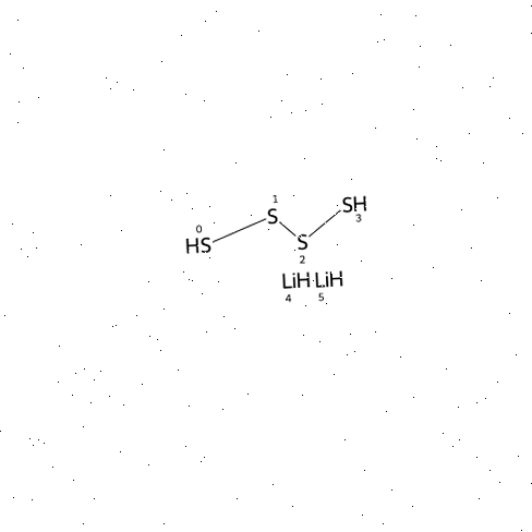 SSSS.[LiH].[LiH]